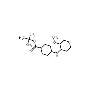 COC1COCCC1NC1CCN(C(=O)OC(C)(C)C)CC1